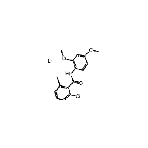 COc1ccc(PC(=O)c2c(C)cccc2Cl)c(OC)c1.[Li]